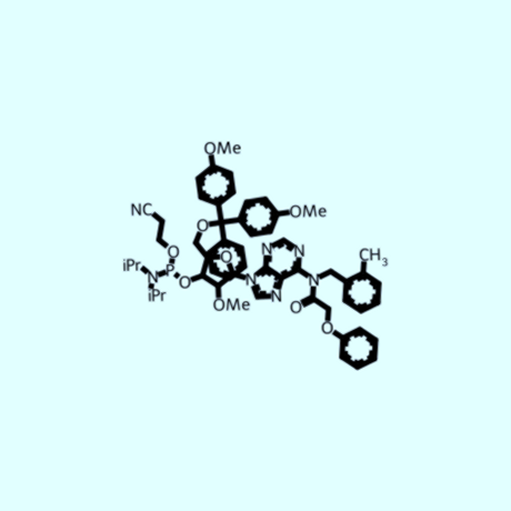 COc1ccc(C(OCC2OC(n3cnc4c(N(Cc5ccccc5C)C(=O)COc5ccccc5)ncnc43)C(OC)C2OP(OCCC#N)N(C(C)C)C(C)C)(c2ccccc2)c2ccc(OC)cc2)cc1